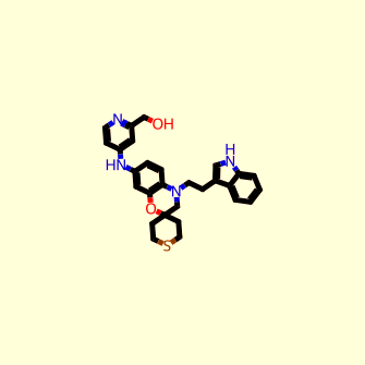 OCc1cc(Nc2ccc3c(c2)OC2(CCSCC2)CN3CCc2c[nH]c3ccccc23)ccn1